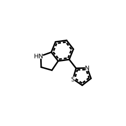 c1cc2c(c(-c3nccs3)c1)CCN2